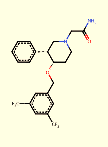 NC(=O)CN1CC[C@H](OCc2cc(C(F)(F)F)cc(C(F)(F)F)c2)[C@H](c2ccccc2)C1